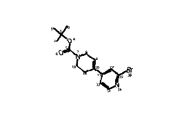 CC(C)(C)OC(=O)N1CC=C(c2ccnc(Br)c2)CC1